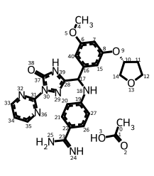 CC(=O)O.COc1cc(O[C@@H]2CCOC2)cc(C(Nc2ccc(C(=N)N)cc2)c2nn(-c3ncccn3)c(=O)[nH]2)c1